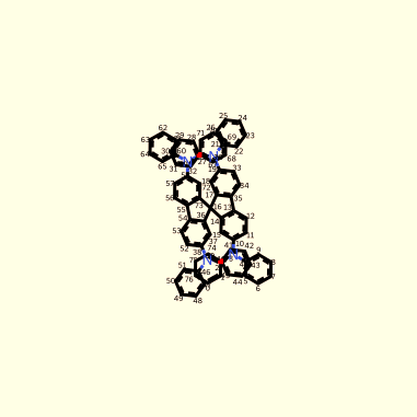 C1=CC(N(c2ccccc2)c2ccc3c(c2)C2(c4cc(N(c5ccccc5)c5ccccc5)ccc4-3)c3cc(N(c4ccccc4)c4ccccc4)ccc3-c3ccc(N(c4ccccc4)c4ccccc4)cc32)=CCC1